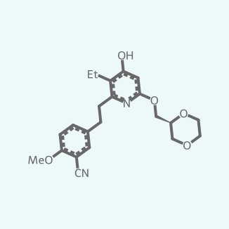 CCc1c(O)cc(OC[C@@H]2COCCO2)nc1CCc1ccc(OC)c(C#N)c1